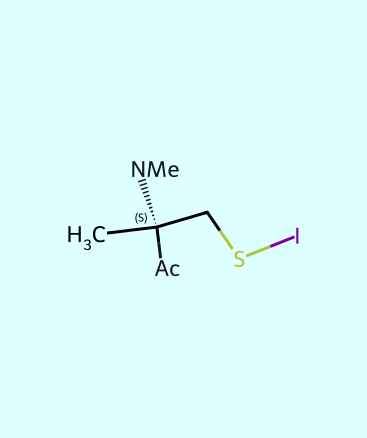 CN[C@](C)(CSI)C(C)=O